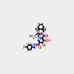 CCC12Cn3cc(C(=O)NCc4ccc(F)cc4)c(=O)c(O)c3C(=O)N1C[C@@H]1CCCC[C@@H]1O2